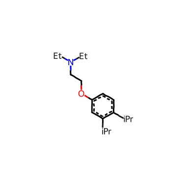 CCN(CC)CCOc1ccc(C(C)C)c(C(C)C)c1